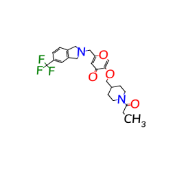 CCC(=O)N1CCC(COc2coc(CN3Cc4ccc(C(F)(F)F)cc4C3)cc2=O)CC1